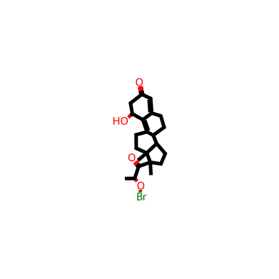 CC(OBr)C(=O)C1(C)CCC2C3CCC4=CC(=O)CC(O)C4=C3CCC21C